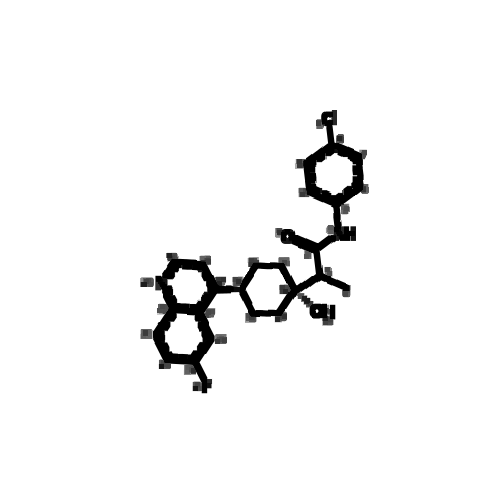 CC(C(=O)Nc1ccc(Cl)cc1)[C@]1(O)CC[C@H](c2ccnc3ccc(F)cc32)CC1